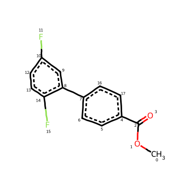 COC(=O)c1ccc(-c2cc(F)ccc2F)cc1